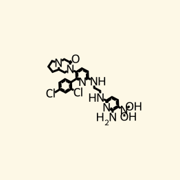 Nc1nc(NCCNc2ccc(N3CC4CCCN4CC3=O)c(-c3ccc(Cl)cc3Cl)n2)ccc1N(O)O